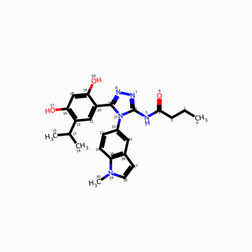 CCCC(=O)Nc1nnc(-c2cc(C(C)C)c(O)cc2O)n1-c1ccc2c(ccn2C)c1